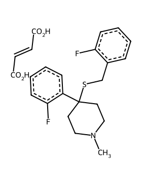 CN1CCC(SCc2ccccc2F)(c2ccccc2F)CC1.O=C(O)C=CC(=O)O